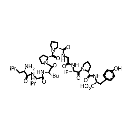 CC[C@H](C)[C@H](NC(=O)[C@@H](NC(=O)[C@@H](N)CC(C)C)C(C)C)C(=O)N1CCC[C@H]1C(=O)N1CCC[C@H]1C(=O)NCC(=O)N[C@H](C(=O)N1CCC[C@H]1C(=O)N[C@@H](Cc1ccc(O)cc1)C(=O)O)C(C)C